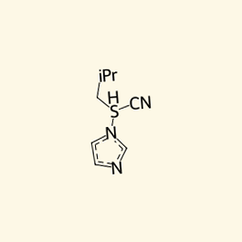 CC(C)C[SH](C#N)n1ccnc1